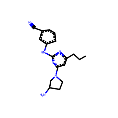 CCCc1cc(N2CCC(N)C2)nc(Nc2cccc(C#N)c2)n1